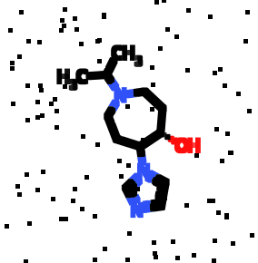 CC(C)N1CCC(n2ccnc2)[C@@H](O)CC1